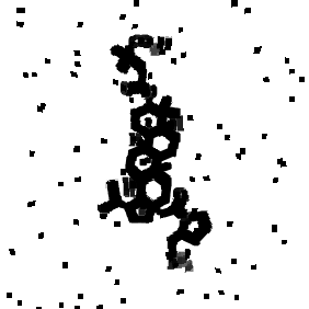 C=C(C)[C@@H]1CC[C@]2(CC(=O)N3CCC[C@H]3CN)CC[C@]3(C)[C@H](CC[C@@H]4[C@@]5(C)CC[C@H](OC(=O)CC(C)(C)C(=O)O)C(C)(C)[C@@H]5CC[C@]43C)[C@@H]12